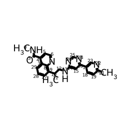 CNC(=O)c1ccnc2c([C@H](C)CNc3cc(-c4ccc(C)nc4)ncn3)cccc12